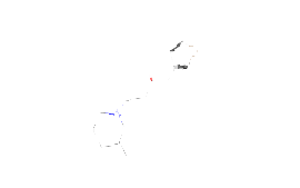 CC1CCCN(CCC(=O)Cc2ccsc2)C1